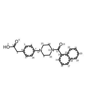 O=C(O)Cc1ccc(N2CCN(C(=O)c3cccc4ccccc34)CC2)cc1